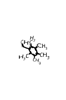 C=[C]c1c(C)c(C)c(C)c(C)c1C